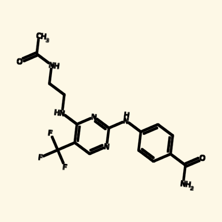 CC(=O)NCCNc1nc(Nc2ccc(C(N)=O)cc2)ncc1C(F)(F)F